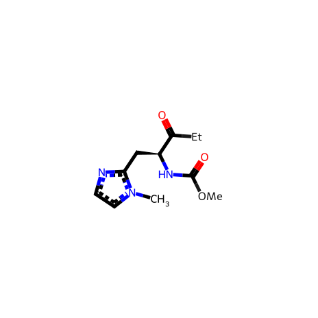 CCC(=O)[C@H](Cc1nccn1C)NC(=O)OC